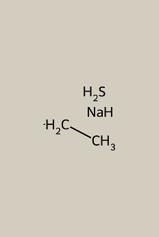 S.[CH2]C.[NaH]